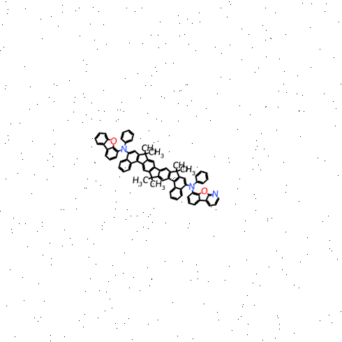 CC1(C)c2cc3c(cc2-c2cc4c(cc21)-c1c(cc(N(c2ccccc2)c2cccc5c2oc2ncccc25)c2ccccc12)C4(C)C)C(C)(C)c1cc(N(c2ccccc2)c2cccc4c2oc2ccccc24)c2ccccc2c1-3